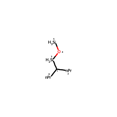 CCCC(CCC)[SiH2]O[SiH3]